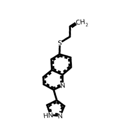 C=CCSc1ccc2nc(-c3cn[nH]c3)ccc2c1